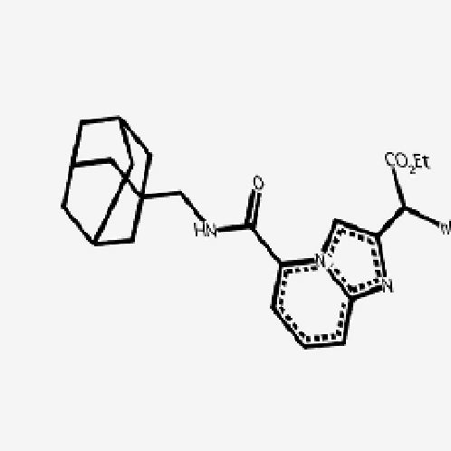 CCCCC(C(=O)OCC)c1cn2c(C(=O)NCC34CC5CC(CC(C5)C3)C4)cccc2n1